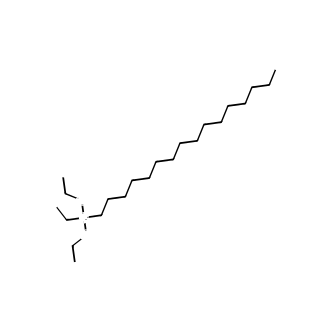 CCCCCCCCCCCCCCCC[Si](CC)(OCC)OCC